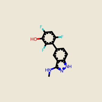 CNc1n[nH]c2ccc(-c3c(F)cc(F)c(O)c3F)cc12